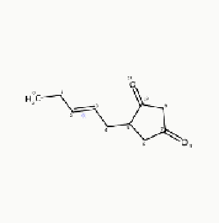 CC/C=C/CC1CC(=O)CC1=O